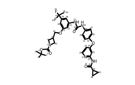 CC(C)(C)OC(=O)N1CC(COc2cc(NC(=O)Nc3ccc(Oc4ccnc(NC(=O)C5CC5)c4)cc3)cc(C(F)(F)F)c2)C1